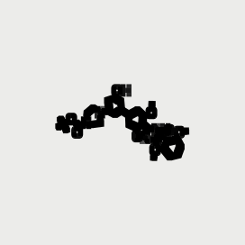 COc1cccc(OC)c1S(=O)(=O)Nc1noc2cc(-c3cc(O)cc(N4CCN(C(=O)OC(C)(C)C)CC4)c3)cc(OC)c12